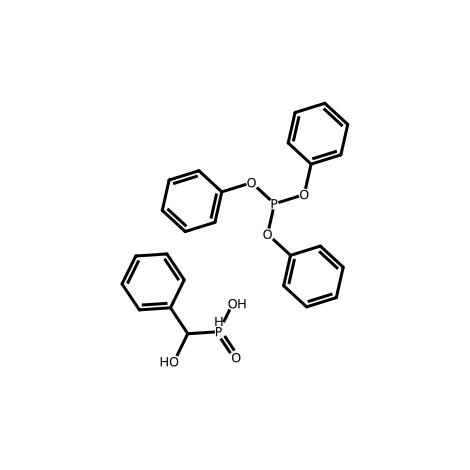 O=[PH](O)C(O)c1ccccc1.c1ccc(OP(Oc2ccccc2)Oc2ccccc2)cc1